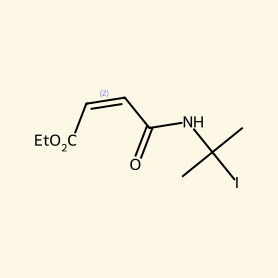 CCOC(=O)/C=C\C(=O)NC(C)(C)I